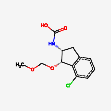 COCO[C@H]1c2c(Cl)cccc2C[C@H]1NC(=O)O